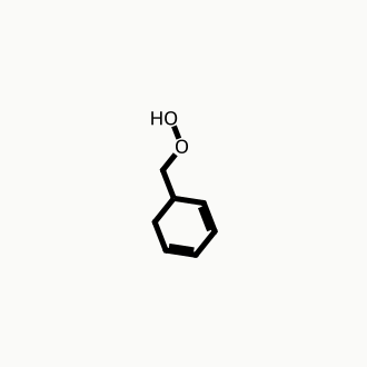 OOCC1C=CC=CC1